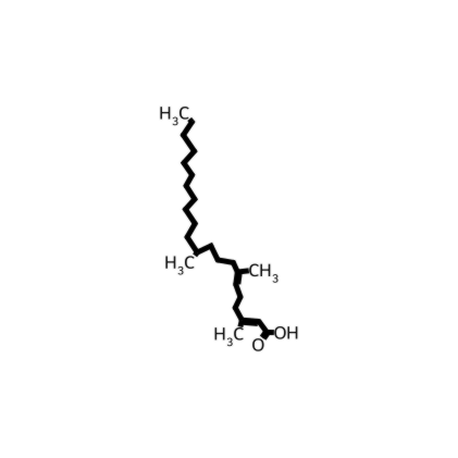 CCCCCCCCCCCC(C)CCCC(C)=CCCC(C)=CC(=O)O